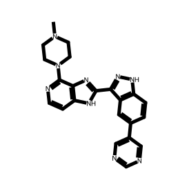 CN1CCN(c2nccc3[nH]c(-c4n[nH]c5ccc(-c6cncnc6)cc45)nc23)CC1